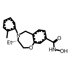 CC[C@H]1COc2cc(C(=O)NO)ccc2CN1c1ccccc1C